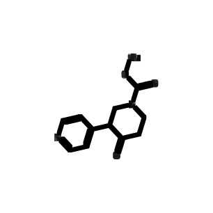 CC(C)(C)OC(=O)N1CCC(=O)C(c2ccncc2)C1